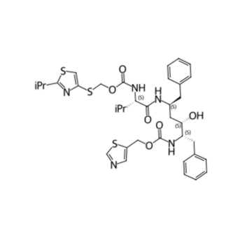 CC(C)c1nc(SCOC(=O)N[C@H](C(=O)N[C@@H](Cc2ccccc2)C[C@H](O)[C@H](Cc2ccccc2)NC(=O)OCc2cncs2)C(C)C)cs1